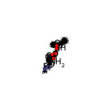 CC(C)/C=C(F)\C=C(\F)CC(=O)c1ccc(=O)n(-c2c(F)cc(OCCCN[C@@H](C(=O)OC3Cc4ccccc4C3)c3ccccc3)cc2F)c1N